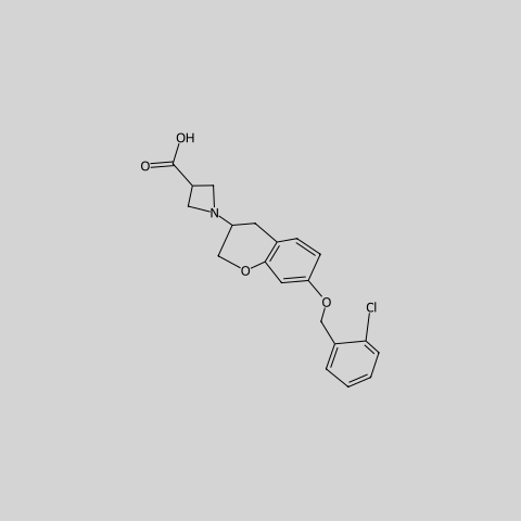 O=C(O)C1CN(C2COc3cc(OCc4ccccc4Cl)ccc3C2)C1